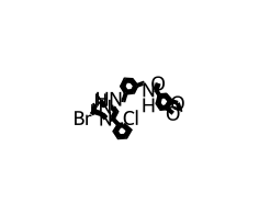 O=C(NCc1cccc(CNc2cc(-c3ccccc3Cl)nc3c(Br)cnn23)c1)c1ccc2c(c1)OCO2